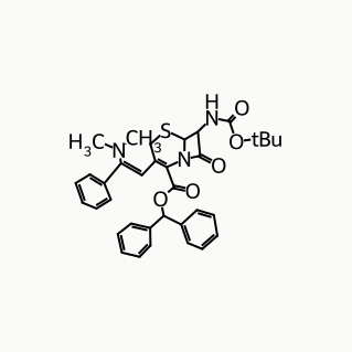 CN(C)C(=CC1=C(C(=O)OC(c2ccccc2)c2ccccc2)N2C(=O)C(NC(=O)OC(C)(C)C)C2SC1)c1ccccc1